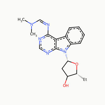 CC[C@H]1O[C@@H](n2c3ccccc3c3c(/N=C\N(C)C)ncnc32)CC1O